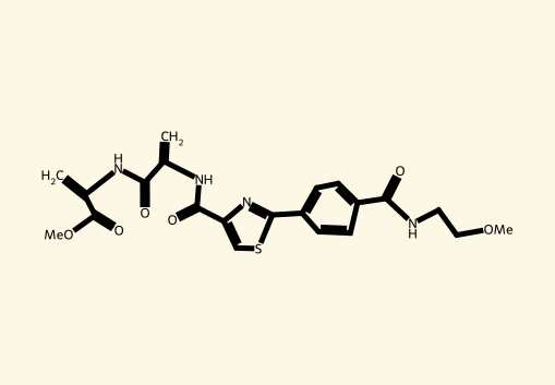 C=C(NC(=O)c1csc(-c2ccc(C(=O)NCCOC)cc2)n1)C(=O)NC(=C)C(=O)OC